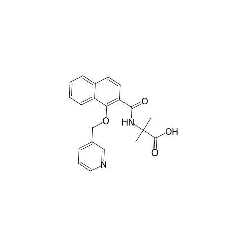 CC(C)(NC(=O)c1ccc2ccccc2c1OCc1cccnc1)C(=O)O